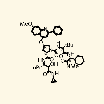 CCC[C@H](NC(=O)[C@@H]1C[C@@H](Oc2cc(-c3ccccc3)nc3cc(OC)ccc23)CN1C(=O)N[C@H](C(=O)N[C@H](C(=O)NC)C1CCCCC1)C(C)(C)C)C(O)C(=O)NC1CC1